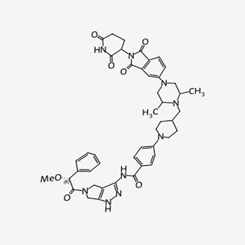 CO[C@@H](C(=O)N1Cc2[nH]nc(NC(=O)c3ccc(N4CCC(CN5C(C)CN(c6ccc7c(c6)C(=O)N(C6CCC(=O)NC6=O)C7=O)CC5C)CC4)cc3)c2C1)c1ccccc1